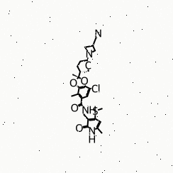 CSc1cc(C)[nH]c(=O)c1CNC(=O)c1cc(Cl)c2c(c1C)O[C@](C)([C@H]1CC[C@H](N3CC(C#N)C3)CC1)O2